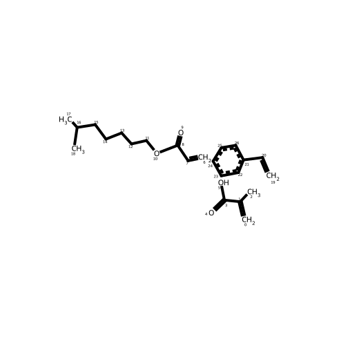 C=C(C)C(=O)O.C=CC(=O)OCCCCCC(C)C.C=Cc1ccccc1